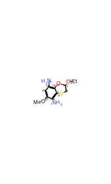 CCOC1CSc2c(N)c(OC)cc(N)c2O1